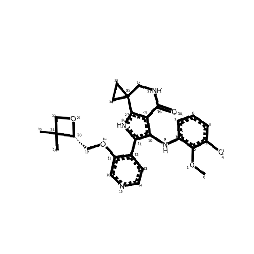 COc1c(Cl)cccc1Nc1c(-c2ccncc2OC[C@H]2OCC2(C)C)[nH]c2c1C(=O)NCC21CC1